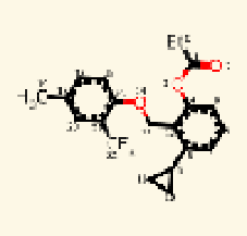 CCC(=O)Oc1cccc(C2CC2)c1COc1ccc(C)cc1C(F)(F)F